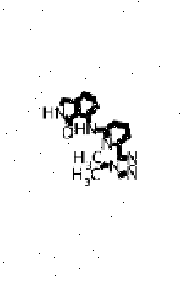 CC(C)n1cnnc1-c1cccc(Nc2cccc3c2C(=O)NC3)n1